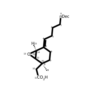 CCCCCCCCCCCCCC=C1CC[C@@](C)(CC(=O)O)C2O[C@@H]12